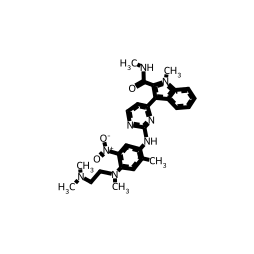 CNC(=O)c1c(-c2ccnc(Nc3cc([N+](=O)[O-])c(N(C)CCN(C)C)cc3C)n2)c2ccccc2n1C